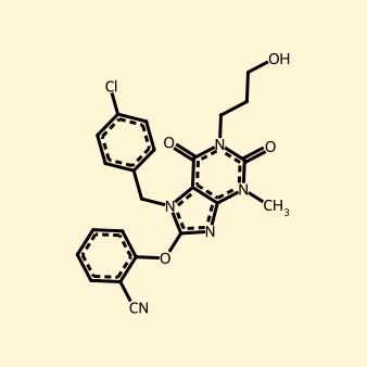 Cn1c(=O)n(CCCO)c(=O)c2c1nc(Oc1ccccc1C#N)n2Cc1ccc(Cl)cc1